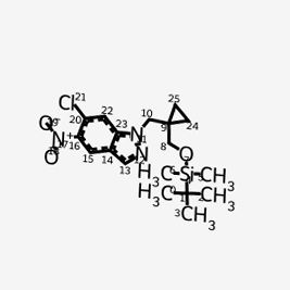 CC(C)(C)[Si](C)(C)OCC1(Cn2ncc3cc([N+](=O)[O-])c(Cl)cc32)CC1